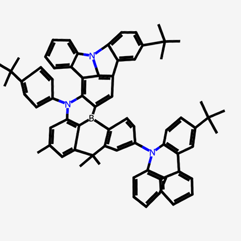 Cc1cc2c3c(c1)C(C)(C)c1cc(N(c4ccccc4)c4ccc(C(C)(C)C)cc4-c4ccccc4)ccc1B3c1cc3c4cc(C(C)(C)C)ccc4n4c5ccccc5c(c1N2c1ccc(C(C)(C)C)cc1)c34